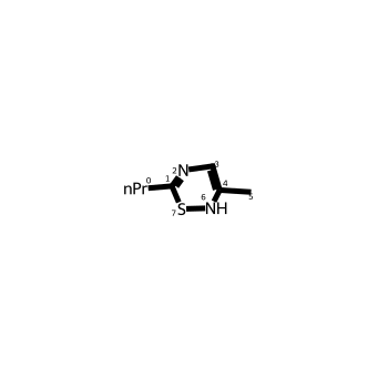 CCCC1=NC=C(C)NS1